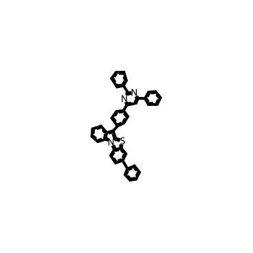 c1ccc(-c2ccc3c(c2)sc2c(-c4ccc(-c5cc(-c6ccccc6)nc(-c6ccccc6)n5)cc4)c4ccccc4n23)cc1